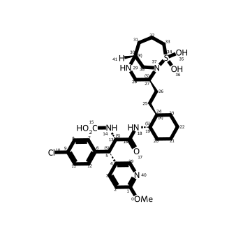 COc1ccc([C@H](c2ccc(Cl)cc2)[C@H](NC(=O)O)C(=O)N[C@H]2CCCC[C@@H]2CC[C@H]2CN[C@@H]3CCCS(O)(O)N2C3)cn1